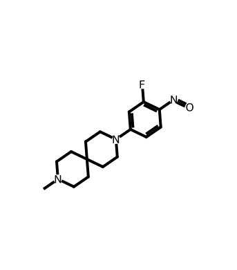 CN1CCC2(CC1)CCN(c1ccc(N=O)c(F)c1)CC2